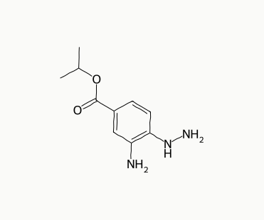 CC(C)OC(=O)c1ccc(NN)c(N)c1